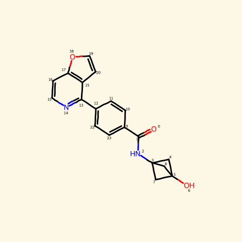 O=C(NC12CC(O)(C1)C2)c1ccc(-c2nccc3occc23)cc1